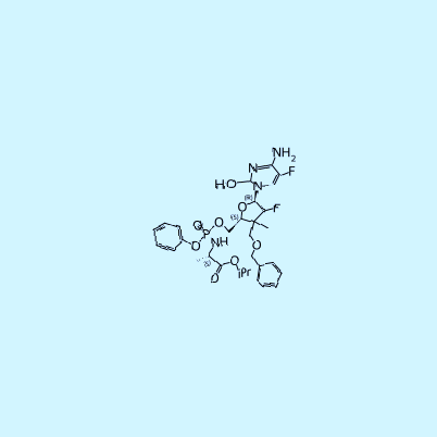 CC(C)OC(=O)[C@H](C)NP(=O)(OC[C@H]1O[C@@H](N2C=C(F)C(N)=NC2O)C(F)C1(C)COCc1ccccc1)Oc1ccccc1